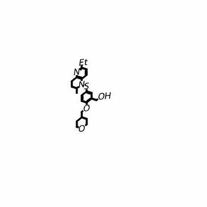 CCc1ccc2c(n1)CCC(C)N2Sc1ccc(OCC2CCOCC2)c(CO)c1